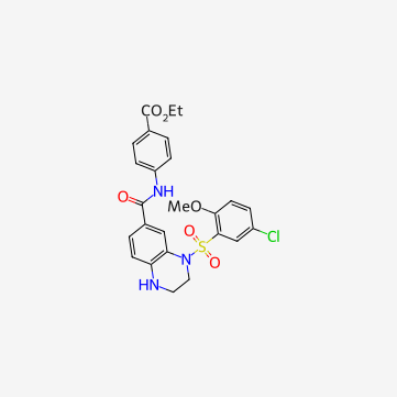 CCOC(=O)c1ccc(NC(=O)c2ccc3c(c2)N(S(=O)(=O)c2cc(Cl)ccc2OC)CCN3)cc1